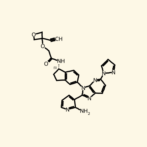 C#CC1(OCC(=O)N[C@H]2CCc3cc(-n4c(-c5cccnc5N)nc5ccc(-n6cccn6)nc54)ccc32)COC1